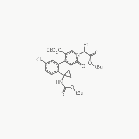 CCOC(=O)c1cn(C(CC)C(=O)OC(C)(C)C)c(=O)cc1-c1cc(Cl)ccc1C1(NC(=O)OC(C)(C)C)CC1